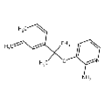 C=C/C=C(\C=C/C)C(C)(C)Oc1cccnc1N